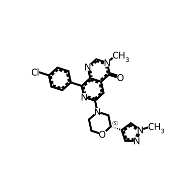 Cn1cc([C@H]2CN(c3cc4c(=O)n(C)cnc4c(-c4ccc(Cl)cc4)n3)CCO2)cn1